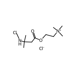 CC(C)(CC(=O)OCC[N+](C)(C)C)NCl.[Cl-]